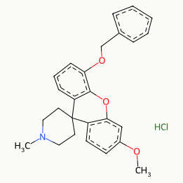 COc1ccc2c(c1)Oc1c(OCc3ccccc3)cccc1C21CCN(C)CC1.Cl